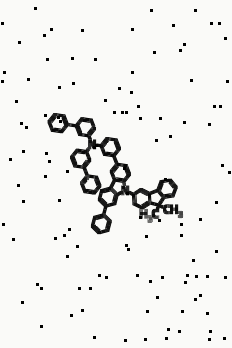 CC1(C)c2ccccc2-c2cc(-n3c4ccc(-c5cccc(N(c6cccc(-c7ccccc7)c6)c6cccc(-c7ccccc7)c6)c5)cc4c4ccc(-c5ccccc5)cc43)ccc21